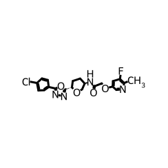 Cc1ncc(OCC(=O)N[C@@H]2CC[C@@H](c3nnc(-c4ccc(Cl)cc4)o3)OC2)cc1F